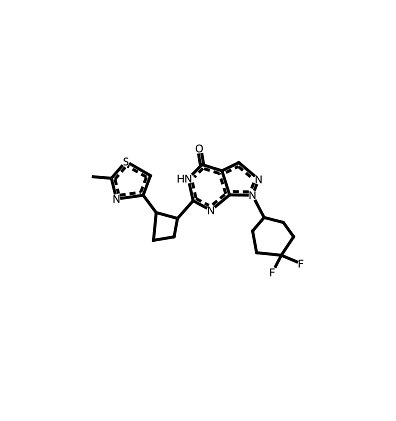 Cc1nc(C2CCC2c2nc3c(cnn3C3CCC(F)(F)CC3)c(=O)[nH]2)cs1